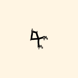 CC1(N)C[N]C1